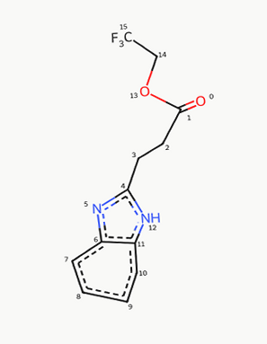 O=C(CCc1nc2ccccc2[nH]1)OCC(F)(F)F